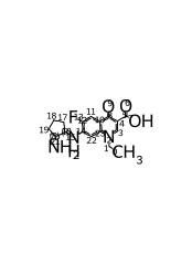 CCn1cc(C(=O)O)c(=O)c2cc(F)c(N[C@@H]3CCC[C@@H]3N)cc21